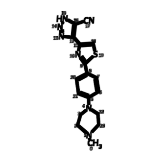 CN1CCN(c2ccc(-c3nc(-c4nn[nH]c4C#N)cs3)cc2)CC1